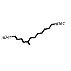 [CH2]C(CCCCCCCCCCCCCC)CCCCCCCCCCCCCCCCC